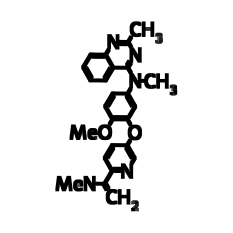 C=C(NC)c1ccc(Oc2cc(N(C)c3nc(C)nc4ccccc34)ccc2OC)cn1